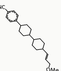 COC/C=C/C1CCC(C2CCC(c3ccc(C#N)cc3)CC2)CC1